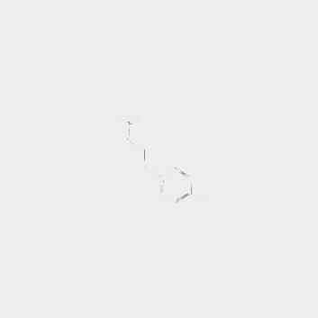 O=C(NCCc1ccc(S)cc1)C(F)(F)F